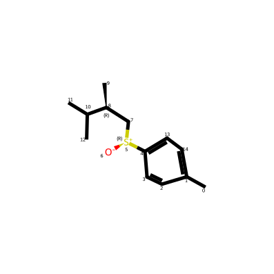 Cc1ccc([S@@+]([O-])C[C@H](C)C(C)C)cc1